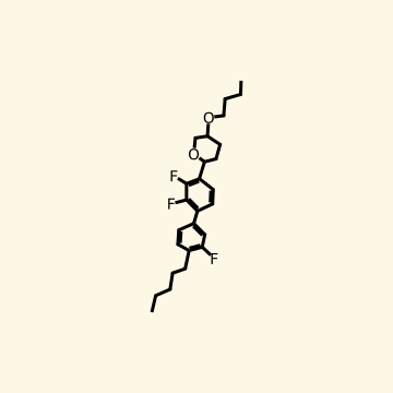 CCCCCc1ccc(-c2ccc(C3CCC(OCCCC)CO3)c(F)c2F)cc1F